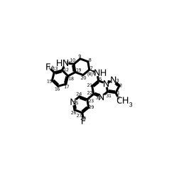 Cc1cnn2c(N[C@@H]3CCc4[nH]c5c(F)cccc5c4C3)cc(-c3cncc(F)c3)nc12